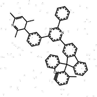 CC1=CC(C)C(c2cccc(-c3cc(-c4ccc5c(c4)C(c4c#cccc4C)(c4ccccc4O)c4ccccc4-5)nc(-c4ccccc4)n3)c2)C(C)=N1